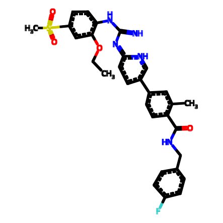 CCOc1cc(S(C)(=O)=O)ccc1NC(=N)/N=c1/ccc(-c2ccc(C(=O)NCc3ccc(F)cc3)c(C)c2)c[nH]1